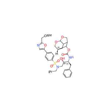 COCc1ncc(-c2ccc(S(=O)(=O)N(CC(C)C)C[C@@H](O)[C@H](Cc3ccccc3)NC(=O)OC3C4COC5OC[C@H]3CC54)cc2)o1